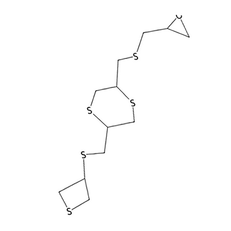 C1OC1CSCC1CSC(CSC2CSC2)CS1